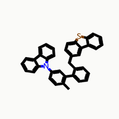 Cc1ccc(-n2c3ccccc3c3ccccc32)cc1-c1ccccc1Cc1ccc2sc3ccccc3c2c1